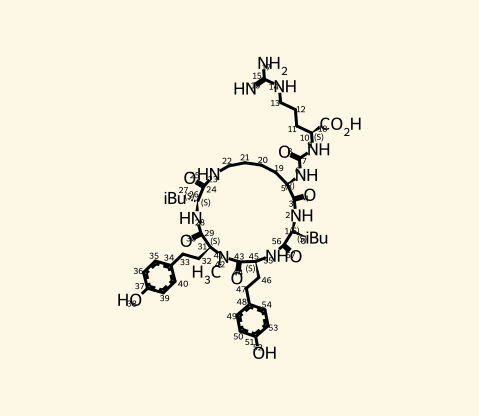 CC[C@H](C)[C@@H]1NC(=O)[C@H](NC(=O)N[C@@H](CCCNC(=N)N)C(=O)O)CCCCNC(=O)[C@H]([C@@H](C)CC)NC(=O)[C@H](CCc2ccc(O)cc2)N(C)C(=O)[C@H](CCc2ccc(O)cc2)NC1=O